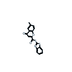 Cc1ccc2oc(C(=O)Sc3nc4ccccc4s3)cc(=O)c2c1